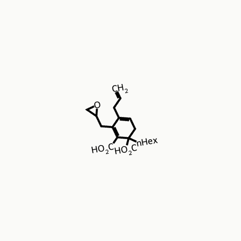 C=CCC1=CCC(CCCCCC)(C(=O)O)C(C(=O)O)=C1CC1CO1